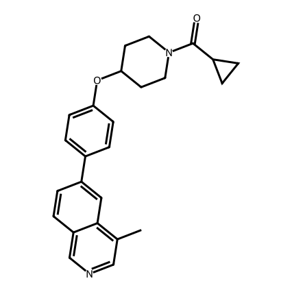 Cc1cncc2ccc(-c3ccc(OC4CCN(C(=O)C5CC5)CC4)cc3)cc12